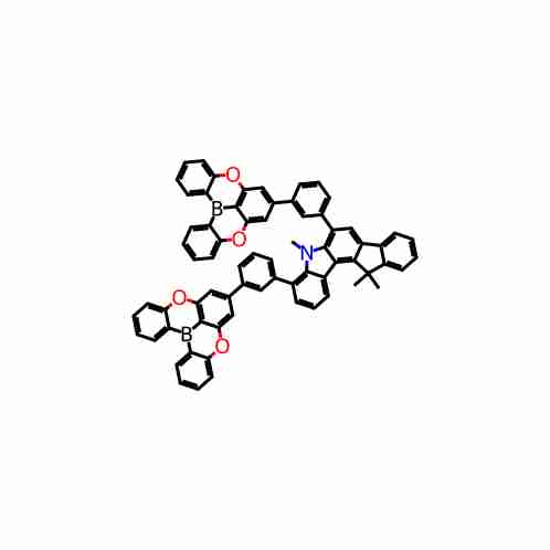 Cn1c2c(-c3cccc(-c4cc5c6c(c4)Oc4ccccc4B6c4ccccc4O5)c3)cccc2c2c3c(cc(-c4cccc(-c5cc6c7c(c5)Oc5ccccc5B7c5ccccc5O6)c4)c21)-c1ccccc1C3(C)C